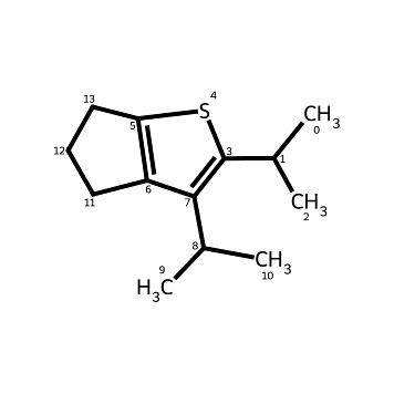 CC(C)c1sc2c(c1C(C)C)CCC2